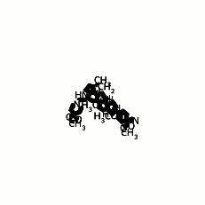 C=C(C)[C@@H]1CC[C@]2(NCCN3CCC(S(C)(=O)=O)CC3)CC[C@]3(C)[C@H](CC[C@@H]4[C@@]5(C)CC=C(C6=CCC(C#N)(C(=O)OC)CC6)C(C)(C)[C@@H]5CC[C@]43C)[C@@H]12